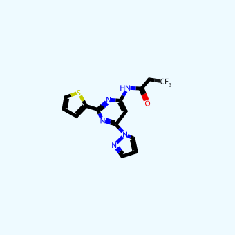 O=C(CC(F)(F)F)Nc1cc(-n2cccn2)nc(-c2cccs2)n1